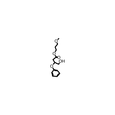 COCCCOC(=O)CC(CO)Oc1ccccc1